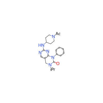 CC(=O)N1CCC(Nc2ncc3c(n2)N(c2ccccc2)C(=O)N(C(C)C)C3)CC1